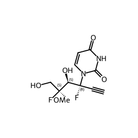 C#C[C@@](F)([C@H](O)[C@@](F)(CO)OC)n1ccc(=O)[nH]c1=O